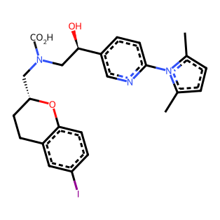 Cc1ccc(C)n1-c1ccc([C@H](O)CN(C[C@H]2CCc3cc(I)ccc3O2)C(=O)O)cn1